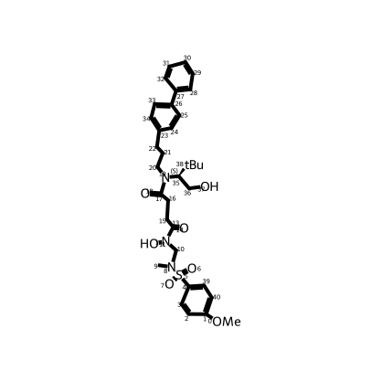 COc1ccc(S(=O)(=O)N(C)CN(O)C(=O)CCC(=O)N(CCCc2ccc(-c3ccccc3)cc2)[C@H](CO)C(C)(C)C)cc1